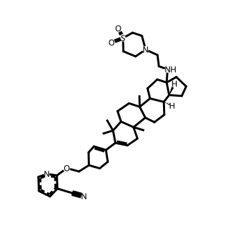 CC1(C)C(C2=CCC(COc3ncccc3C#N)CC2)=CCC2(C)C1CCC1(C)C3CCC4(NCCN5CCS(=O)(=O)CC5)CCC[C@@H]4[C@H]3CCC12